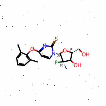 Cc1cccc(C)c1Oc1ccn([C@@H]2O[C@H](CO)C(O)[C@@]2(C)F)c(=S)n1